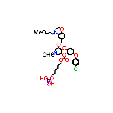 COCCCN1CCOc2ccc(COC3CN(C=O)CC(OC(=O)OCCCCCCON(O)O)C3OC3CCC(Oc4ccc(Cl)cc4)CC3)cc21